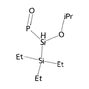 CC[Si](CC)(CC)[SiH](OC(C)C)P=O